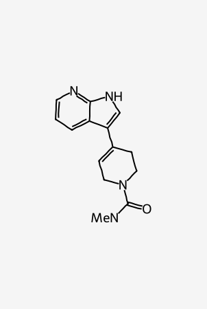 CNC(=O)N1CC=C(c2c[nH]c3ncccc23)CC1